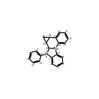 c1ccc(N2c3ccccc3N3c4ccccc4C4CC4C23)cc1